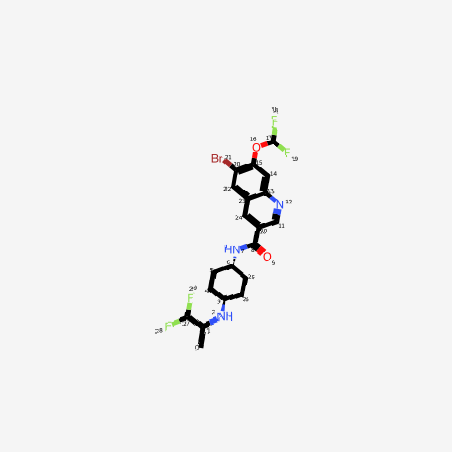 CC(N[C@H]1CC[C@H](NC(=O)c2cnc3cc(OC(F)F)c(Br)cc3c2)CC1)C(F)F